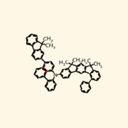 CC1(C)c2ccccc2-c2ccc(-c3ccc(N(c4ccc5c(c4)C(C)(C)c4cc6c(cc4-5)-c4c(-c5ccccc5)cccc4C6(C)C)c4ccccc4-c4ccccc4)cc3)cc21